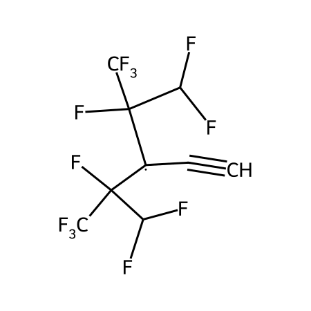 C#C[C](C(F)(C(F)F)C(F)(F)F)C(F)(C(F)F)C(F)(F)F